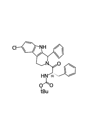 CC(C)(C)OC(=O)N[C@@H](Cc1ccccc1)C(=O)N1CCc2c([nH]c3ccc(Cl)cc23)C1c1ccccc1